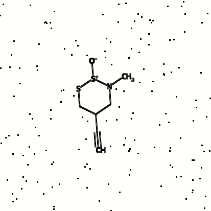 C#CC1CS[S+]([O-])N(C)C1